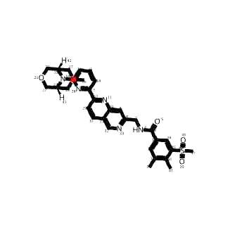 Cc1cc(C(=O)NCc2cc3nc(-c4cccc(N5[C@@H]6COC[C@H]5CN(C)C6)n4)ccc3cn2)cc(S(C)(=O)=O)c1C